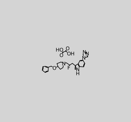 F[C@H](Cc1c[nH]c2ccc(-n3cnnc3)cc12)CN1CCC(OCc2ccccc2)CC1.O=C(O)C(=O)O